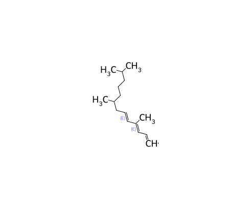 [CH]=C/C=C(C)/C=C/CC(C)CCCC(C)C